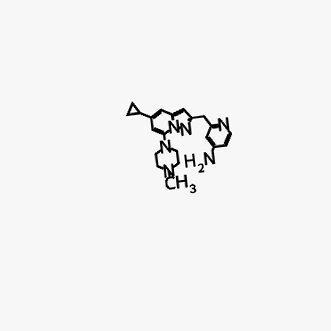 CN1CCN(c2cc(C3CC3)cc3cc(Cc4cc(N)ccn4)nn23)CC1